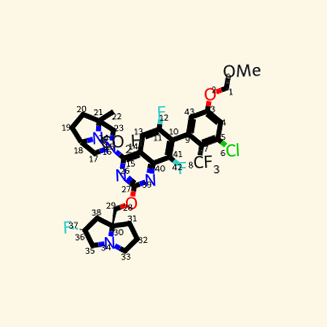 COCOc1cc(Cl)c(C(F)(F)F)c(-c2c(F)cc3c(N4CC5CCC(C)(C4)N5C(=O)O)nc(OC[C@@]45CCCN4C[C@H](F)C5)nc3c2F)c1